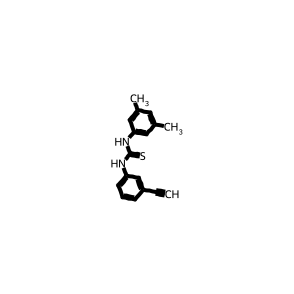 C#Cc1cccc(NC(=S)Nc2cc(C)cc(C)c2)c1